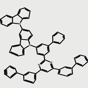 c1ccc(-c2cccc(-c3cc(-c4cccc(-c5ccccc5)c4)nc(-c4cc(-c5ccccc5)cc(-n5c6ccccc6c6cc(-n7c8ccccc8c8ccccc87)ccc65)c4)n3)c2)cc#1